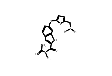 CCN(CC)Cc1ccc(Oc2ccc3cc(C(=O)N(C)C(=N)N)[nH]c3c2)s1